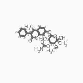 CO[C@@H]1[C@H](OC(N)=O)[C@H](O)C(Oc2ccc3c(C)c(-c4ccccc4)c(=O)oc3c2)OC1(C)C